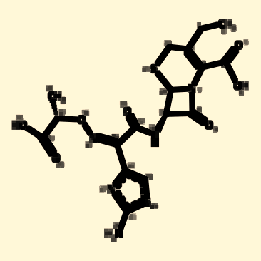 CCC1=C(C(=O)O)N2C(=O)[C@@H](NC(=O)/C(=N\O[C@@H](C)C(=O)O)c3csc(N)n3)C2SC1